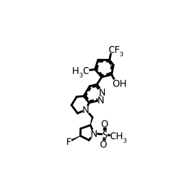 Cc1cc(C(F)(F)F)cc(O)c1-c1cc2c(nn1)N(C[C@@H]1C[C@H](F)CN1S(C)(=O)=O)CCC2